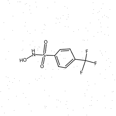 O=S(=O)(NO)c1ccc(C(F)(F)F)cc1